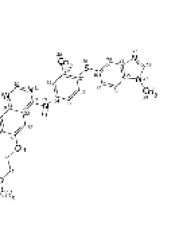 COCCOc1ccc2ncnc(Nc3ccc(Sc4ccc5c(c4)ncn5C)c(C)c3)c2c1